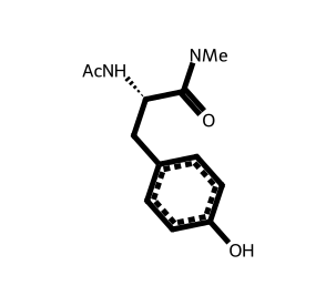 CNC(=O)[C@H](Cc1ccc(O)cc1)NC(C)=O